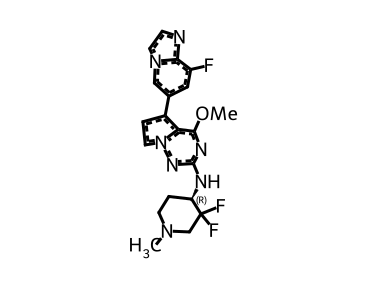 COc1nc(N[C@@H]2CCN(C)CC2(F)F)nn2ccc(-c3cc(F)c4nccn4c3)c12